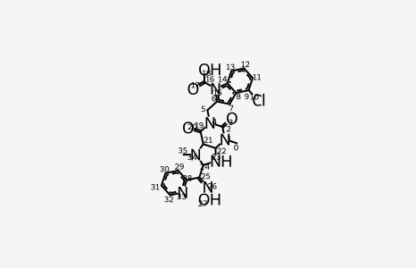 CN1C(=O)N(Cc2cc3c(Cl)cccc3n2C(=O)O)C(=O)C2C1NC(C(=NO)c1ccccn1)N2C